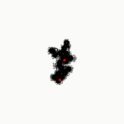 CC1(C)c2ccccc2-c2ccc(N(c3ccc(-c4cccc5c4oc4ccccc45)cc3)c3ccc4c(c3)C(c3ccccc3)(c3cccc(-c5ccc6c(c5)-c5ccc(N(c7ccc8c(c7)C(c7ccccc7)(c7ccccc7)c7ccccc7-8)c7cccc8c7oc7ccccc78)cc5C6(C)C)c3)c3ccccc3-4)cc21